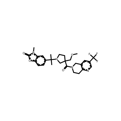 COCC1(C(=O)N2CCc3ncc(C(F)(F)F)cc3C2)CCN(C(C)(C)c2ccc3oc(=O)n(C)c3c2)C1